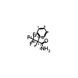 CC(C(N)=O)(c1ccccc1)C(F)(F)F